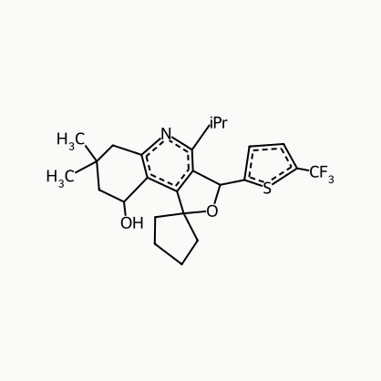 CC(C)c1nc2c(c3c1C(c1ccc(C(F)(F)F)s1)OC31CCCC1)C(O)CC(C)(C)C2